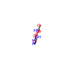 CN/C(C)=C\C(=O)Cc1ccc(CNC(=O)COCCCOC(=O)NCCCCCC(C)=O)cc1